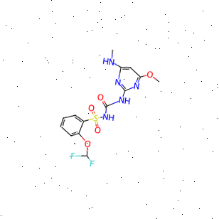 CNc1cc(OC)nc(NC(=O)NS(=O)(=O)c2ccccc2OC(F)F)n1